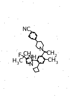 C=C(c1cc(-c2ncc(C(C)(C)F)[nH]2)c(C2CCC2)cc1C)N1CCC(c2ccc(C#N)cc2)CC1